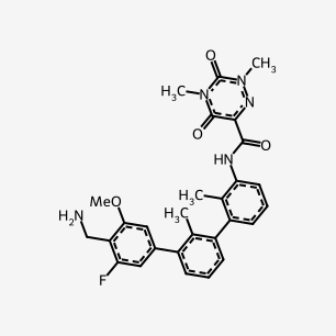 COc1cc(-c2cccc(-c3cccc(NC(=O)c4nn(C)c(=O)n(C)c4=O)c3C)c2C)cc(F)c1CN